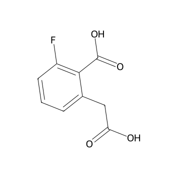 O=C(O)Cc1cccc(F)c1C(=O)O